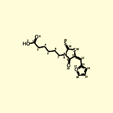 O=C(O)CCCCCN1C(=O)/C(=C\c2ccco2)SC1=S